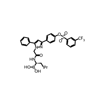 CC(C)C[C@H](NC(=O)Cn1nc(-c2ccc(OS(=O)(=O)c3cccc(C(F)(F)F)c3)cc2)cc1-c1ccccc1)B(O)O